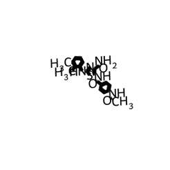 CC(=O)Nc1ccc(C(=O)Nc2sc(Nc3cccc(C)c3C)nc2C(N)=O)cc1